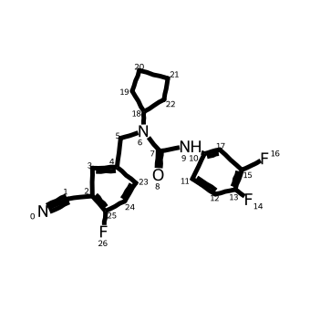 N#Cc1cc(CN(C(=O)Nc2ccc(F)c(F)c2)C2CCCC2)ccc1F